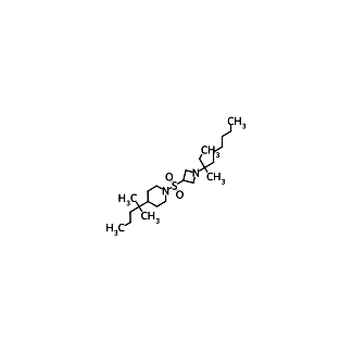 CCCCCCC(C)(CC)N1CC(S(=O)(=O)N2CCC(C(C)(C)CCC)CC2)C1